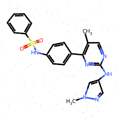 Cc1cnc(Nc2cnn(C)c2)nc1-c1ccc(NS(=O)(=O)c2ccccc2)cc1